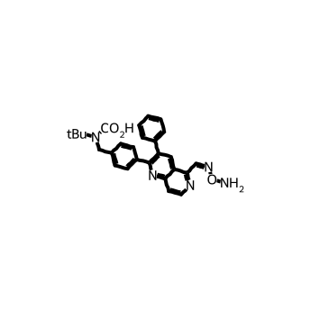 CC(C)(C)N(Cc1ccc(-c2nc3ccnc(/C=N\ON)c3cc2-c2ccccc2)cc1)C(=O)O